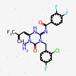 C=C(/C=C1/N/C(=N\C(=O)c2ccc(F)c(F)c2)N(Cc2ccc(F)cc2Cl)C(=O)N1N)C(F)(F)F